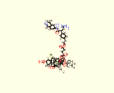 CC1(C)O[C@@H]2C[C@H]3[C@@H]4C[C@H](F)C5=CC(O)C=C[C@]5(C)[C@@]4(F)[C@@H](O)C[C@]3(C)[C@]2(C(=O)COC(=O)CCC(=O)OCCc2ccc(C(CN)C(=O)Nc3ccc4cnccc4c3)cc2)O1